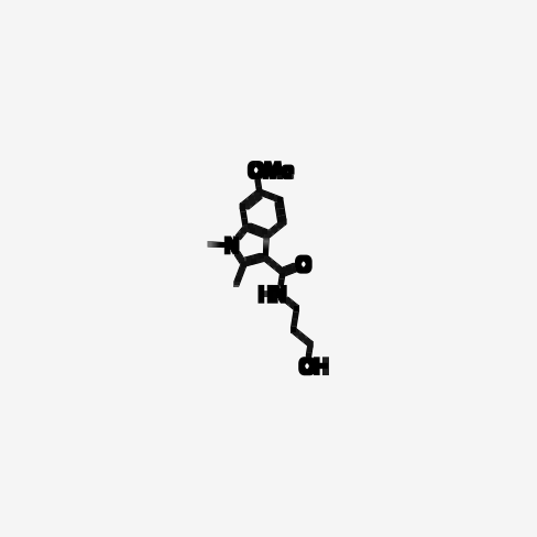 COc1ccc2c(C(=O)NCCCO)c(C)n(C)c2c1